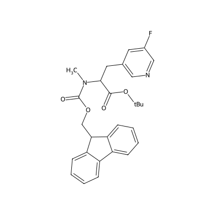 CN(C(=O)OCC1c2ccccc2-c2ccccc21)C(Cc1cncc(F)c1)C(=O)OC(C)(C)C